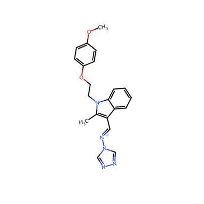 COc1ccc(OCCn2c(C)c(/C=N/n3cnnc3)c3ccccc32)cc1